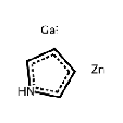 [Ga].[Zn].c1cc[nH]c1